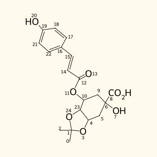 CC1(C)OC2CC(O)(C(=O)O)CC(OC(=O)/C=C/c3ccc(O)cc3)C2O1